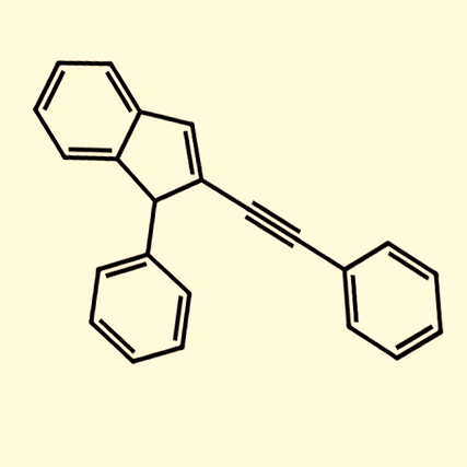 C(#Cc1ccccc1)C1=Cc2ccccc2C1c1ccccc1